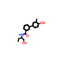 CCC(CO)NC(=O)c1cccc(-c2ccc(O)c(C)c2)c1